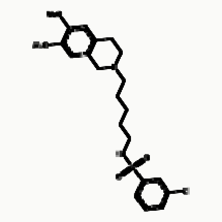 COc1cc2c(cc1OC)CN(CCCCCNS(=O)(=O)c1cccc(Cl)c1)CC2